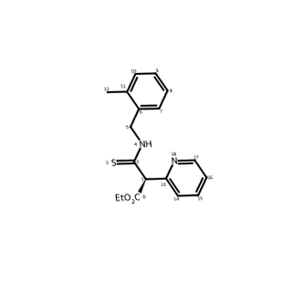 CCOC(=O)[C@@H](C(=S)NCc1ccccc1C)c1ccccn1